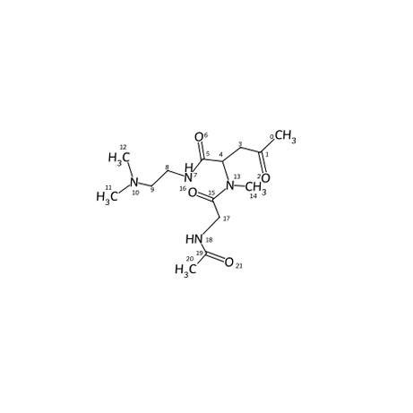 CC(=O)CC(C(=O)NCCN(C)C)N(C)C(=O)CNC(C)=O